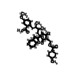 COc1ccc(CC(C)C(C)C[C@@]2(c3cc4cnccc4o3)NC(=O)N(COC(=O)N3CCN(C)CC3)C2=O)c(C(C)=O)c1